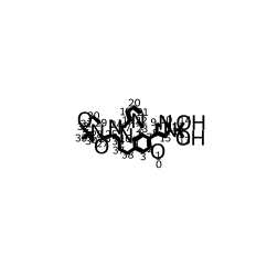 COc1cc2c(cc1-c1cnn(C(O)O)c1)-n1c(-c3cccn3C)nc(C(=O)N3CCOCC3(C)C)c1CC2